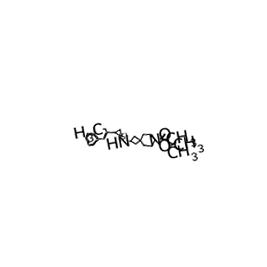 CCC(=Cc1ccccc1)C1C[C@@H]1NC1CC2(CCN(C(=O)OC(C)(C)C)CC2)C1